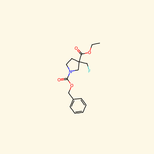 CCOC(=O)C1(CF)CCN(C(=O)OCc2ccccc2)C1